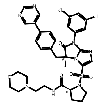 C[C@@]1(Cc2ccc(-c3cncnc3)cc2)C(=O)N(c2cc(Cl)cc(Cl)c2)c2ncc(S(=O)(=O)N3CCC[C@H]3C(=O)NCCN3CCOCC3)n21